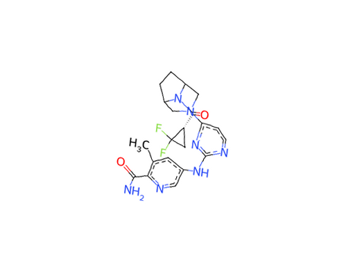 Cc1cc(Nc2nccc(N3CC4CCC(C3)N4C(=O)[C@@H]3CC3(F)F)n2)cnc1C(N)=O